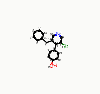 Oc1ccc(-c2c(Br)cncc2Cc2ccccc2)cc1